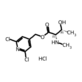 CN[C@H](C(=O)OCc1cc(Cl)nc(Cl)c1)[C@@H](C)O.Cl